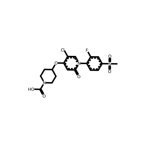 CS(=O)(=O)c1ccc(-n2cc(Cl)c(OC3CCN(C(=O)O)CC3)cc2=O)c(F)c1